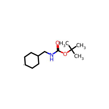 CC(C)(C)OC(=O)NCC1CC[CH]CC1